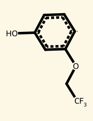 Oc1cc[c]c(OCC(F)(F)F)c1